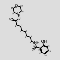 O=C(CCCCCCCNC(=O)c1ccccc1O)ON1CCOCC1